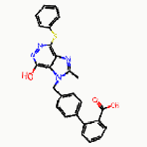 Cc1nc2c(Sc3ccccc3)nnc(O)c2n1Cc1ccc(-c2ccccc2C(=O)O)cc1